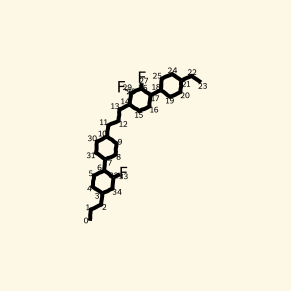 CCCC1CCC(C2CCC(CCCC3CCC(C4CCC(CC)CC4)C(F)[C@H]3F)CC2)C(F)C1